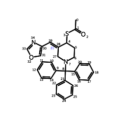 CC(=O)SC1CCN(C(c2ccccc2)(c2ccccc2)c2ccccc2)C/C1=C\c1cocn1